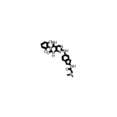 CN(C)CC(=O)NC1Cc2ccc(Nc3ncc4c(=N)n(-c5c(Cl)cccc5Cl)c(=O)[nH]c4n3)cc2C1